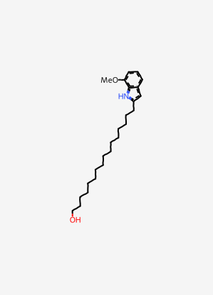 COc1cccc2cc(CCCCCCCCCCCCCCCCO)[nH]c12